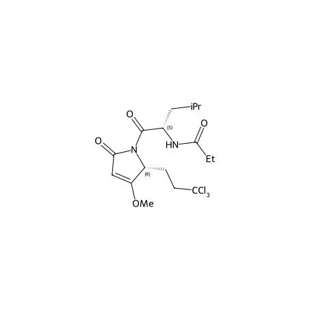 CCC(=O)N[C@@H](CC(C)C)C(=O)N1C(=O)C=C(OC)[C@H]1CCC(Cl)(Cl)Cl